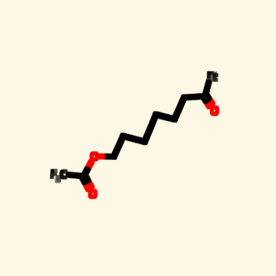 CCC(=O)CCCCCCOC(=O)C(F)(F)F